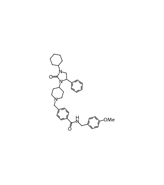 COc1ccc(CNC(=O)c2ccc(CN3CCC(N4C(=O)N(C5CCCCC5)CC4c4ccccc4)CC3)cc2)cc1